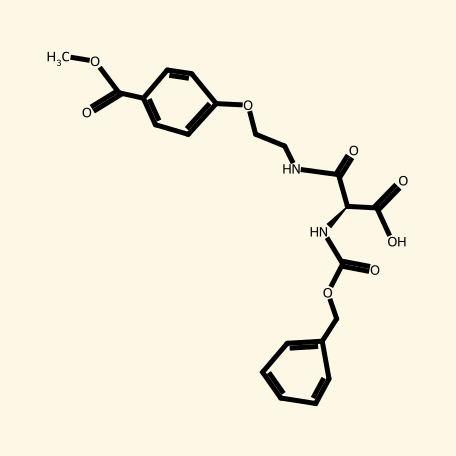 COC(=O)c1ccc(OCCNC(=O)[C@H](NC(=O)OCc2ccccc2)C(=O)O)cc1